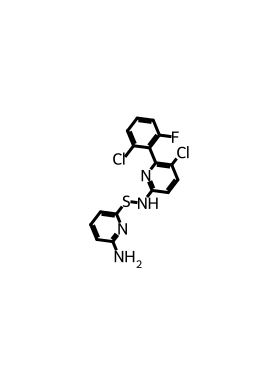 Nc1cccc(SNc2ccc(Cl)c(-c3c(F)cccc3Cl)n2)n1